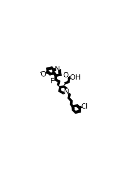 COc1ccc2nccc([C@H](F)CC[C@@H]3CCN(CCCCc4cccc(Cl)c4)C[C@H]3CCC(=O)O)c2c1